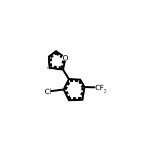 FC(F)(F)c1ccc(Cl)c(-c2[c]cco2)c1